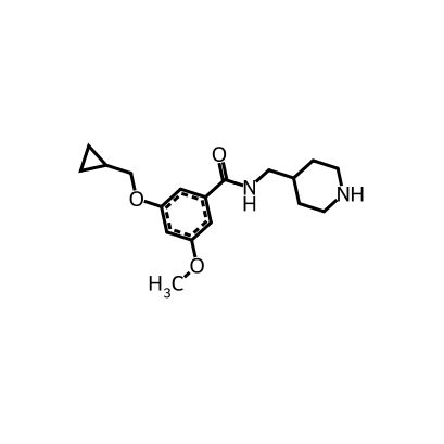 COc1cc(OCC2CC2)cc(C(=O)NCC2CCNCC2)c1